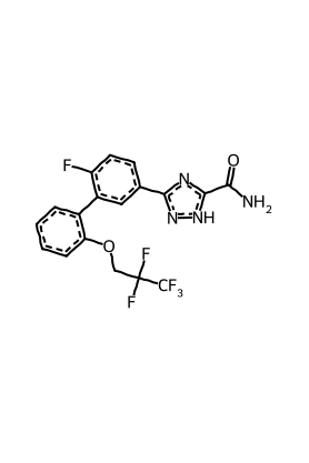 NC(=O)c1nc(-c2ccc(F)c(-c3ccccc3OCC(F)(F)C(F)(F)F)c2)n[nH]1